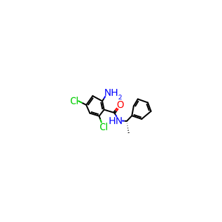 C[C@H](NC(=O)c1c(N)cc(Cl)cc1Cl)c1ccccc1